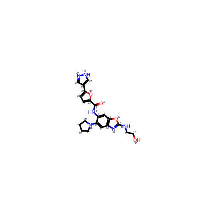 O=C(Nc1cc2oc(NCCO)nc2cc1N1CCCC1)c1ccc(-c2cn[nH]c2)o1